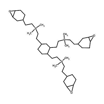 C[Si](C)(CCC1CCC(CC[Si](C)(C)CCC2CCC3OC3C2)C(CC[Si](C)(C)CCC2CCC3OC3C2)C1)CCC1CCC2OC2C1